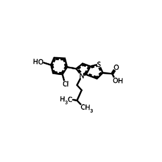 CC(C)CCn1c(-c2ccc(O)cc2Cl)cc2sc(C(=O)O)cc21